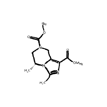 COC(=O)c1nc(C)n2c1CN(C(=O)OC(C)(C)C)C[C@H]2C